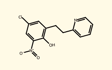 O=[N+]([O-])c1cc(Cl)cc(CCc2ccccn2)c1O